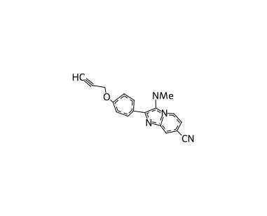 C#CCOc1ccc(-c2nc3cc(C#N)ccn3c2NC)cc1